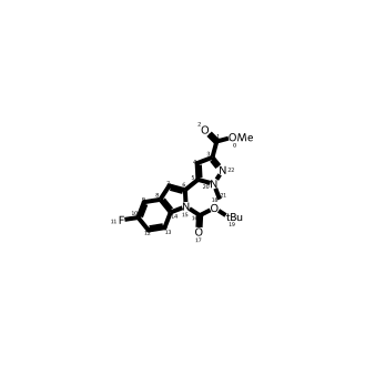 COC(=O)c1cc(-c2cc3cc(F)ccc3n2C(=O)OC(C)(C)C)n(C)n1